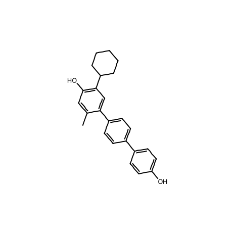 Cc1cc(O)c(C2CCCCC2)cc1-c1ccc(-c2ccc(O)cc2)cc1